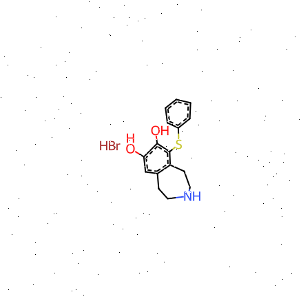 Br.Oc1cc2c(c(Sc3ccccc3)c1O)CCNCC2